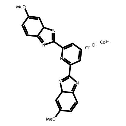 COC1=CC2N=C(c3cccc(C4=NC5C=C(OC)C=CC5=N4)n3)N=C2C=C1.[Cl-].[Cl-].[Co+2]